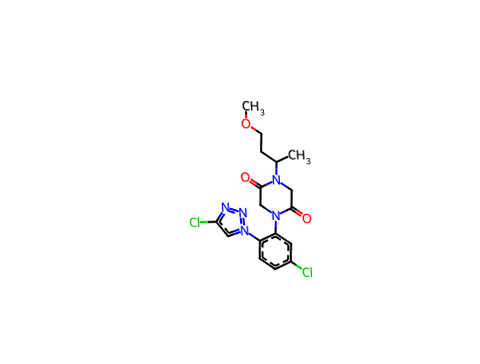 COCCC(C)N1CC(=O)N(c2cc(Cl)ccc2-n2cc(Cl)nn2)CC1=O